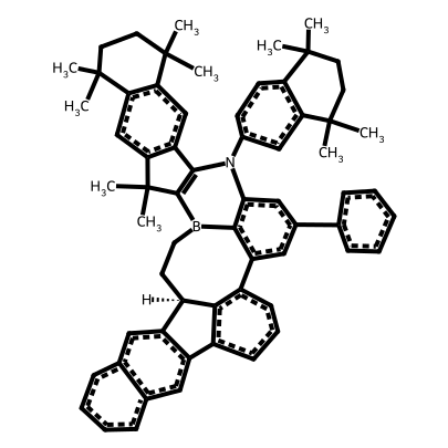 CC1(C)CCC(C)(C)c2cc(N3C4=C(B5CC[C@@H]6c7cc8ccccc8cc7-c7cccc(c76)-c6cc(-c7ccccc7)cc3c65)C(C)(C)c3cc5c(cc34)C(C)(C)CCC5(C)C)ccc21